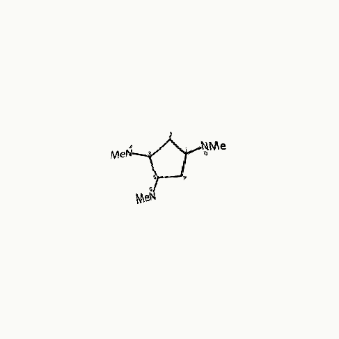 CNC1CC(NC)C(NC)C1